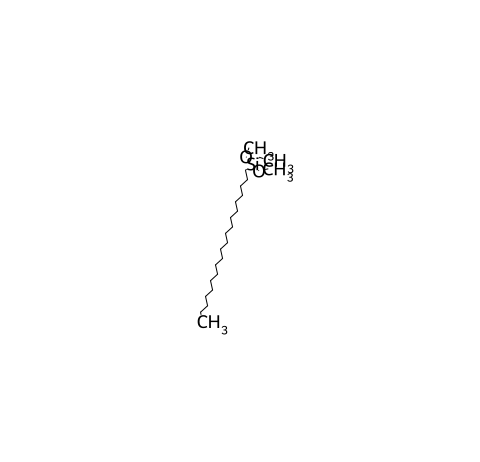 CCCCCCCCCCCCCCCCCCCC[Si](CC)(OC)OC